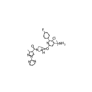 Cc1nn(-c2ncccn2)cc1C(=O)N1CC2[C@@H](C1)[C@@H]2Oc1cc(C(C)(C)N)c(Cl)c(-c2ccc(F)cc2)n1